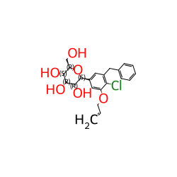 C=CCOc1cc([C@@H]2O[C@H](CO)[C@@H](O)[C@H](O)[C@H]2O)cc(Cc2ccccc2)c1Cl